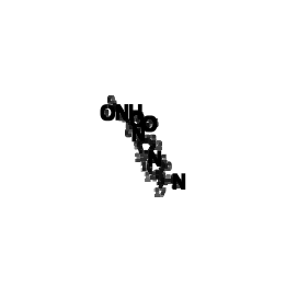 CC(=O)NCC1CN(c2ccc(N3CCC(=C(C)C#N)CC3)cc2)C(=O)O1